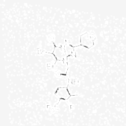 CCc1c(Br)c(=O)n2nc(C3=CCOCC3)nc2n1CC(=O)Nc1ccc(C(F)(F)F)c(F)c1C